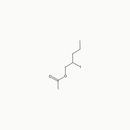 CCCC(I)COC(C)=O